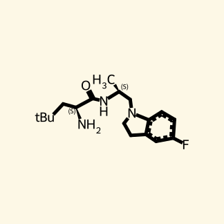 C[C@@H](CN1CCc2cc(F)ccc21)NC(=O)[C@@H](N)CC(C)(C)C